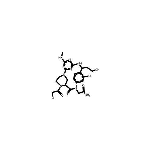 CNc1nc(NC(CCO)c2ccccc2Cl)nc(N2CCN(C(=O)CCl)C(C(=O)NCC(N)=O)C2)n1